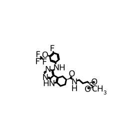 CS(=O)(=O)CCCNC(=O)[C@H]1CCc2[nH]c3ncnc(Nc4ccc(F)c(OC(F)(F)F)c4)c3c2C1